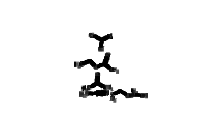 CC#N.CC(C)=O.CCO.CCOC(C)=O.CO.ClC(Cl)Cl